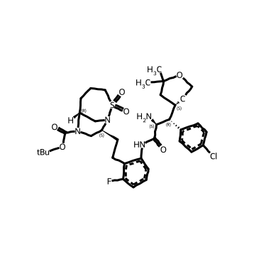 CC(C)(C)OC(=O)N1C[C@H](CCc2c(F)cccc2NC(=O)[C@@H](N)[C@@H](c2ccc(Cl)cc2)[C@H]2CCOC(C)(C)C2)N2C[C@H]1CCCS2(=O)=O